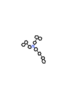 c1cc(-c2cccc3ccccc23)cc(N(c2ccc(-c3ccc(-c4ccc5ccccc5c4)cc3)cc2)c2ccc(-c3cccc4ccccc34)cc2)c1